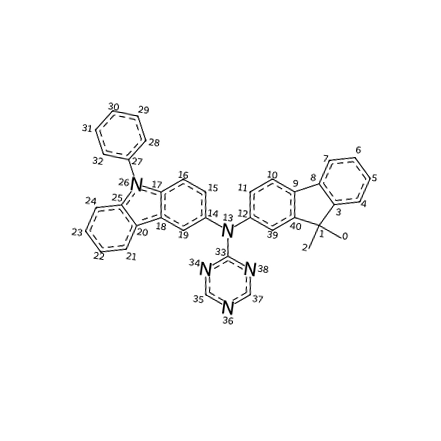 CC1(C)c2ccccc2-c2ccc(N(c3ccc4c(c3)c3ccccc3n4-c3ccccc3)c3ncncn3)cc21